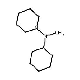 CN(C1CCCCC1)N1CCCCC1